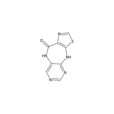 O=C1Nc2cncnc2Nc2scnc21